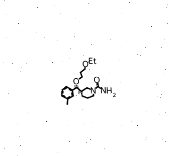 CCOCCCO[C@@H](c1cccc(C)c1)[C@@H]1CCCN(C(N)=O)C1